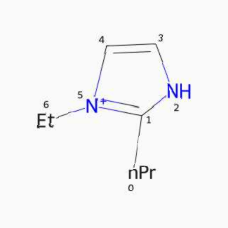 CCCc1[nH]cc[n+]1CC